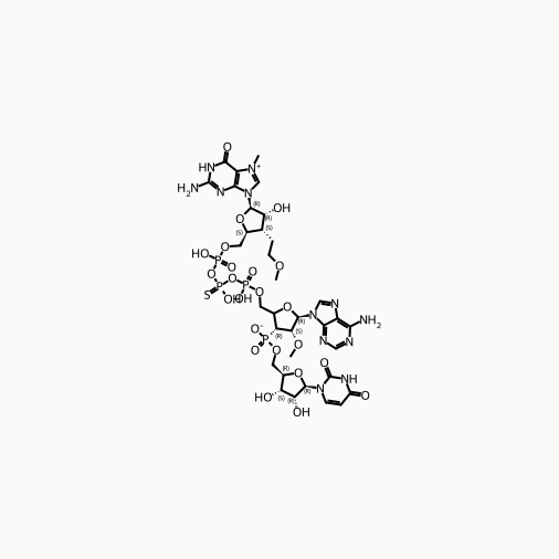 COCC[C@H]1[C@@H](O)[C@H](n2c[n+](C)c3c(=O)[nH]c(N)nc32)O[C@@H]1COP(=O)(O)OP(O)(=S)OP(=O)(O)OCC1O[C@@H](n2cnc3c(N)ncnc32)[C@H](OC)[C@@H]1P(=O)([O-])OC[C@H]1O[C@@H](n2ccc(=O)[nH]c2=O)[C@H](O)[C@@H]1O